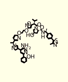 Cc1ncsc1-c1ccc([C@H](C)NC(=O)[C@@H]2C[C@@H](O)CN2C(=O)[C@@H](c2cc(OCCOc3ccc(C(C)n4cc(-c5cc(-c6ccccc6O)nnc5N)cn4)cn3)no2)C(C)C)cc1